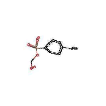 CCCCCCc1ccc(S(=O)(=O)OCO)cc1